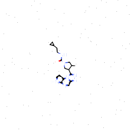 CCC1CN(C(=O)NCCC2CC2)CC1c1nnc2cnc3[nH]ccc3n12